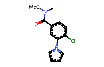 CON(C)C(=O)c1ccc(Cl)c(-n2cccc2)c1